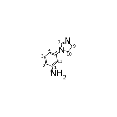 Nc1cccc(N2C=NCC2)c1